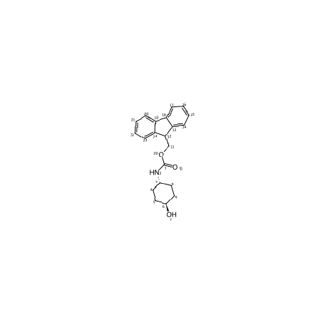 O=C(N[C@H]1CC[C@H](O)CC1)OCC1c2ccccc2-c2ccccc21